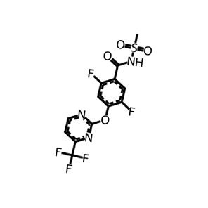 CS(=O)(=O)NC(=O)c1cc(F)c(Oc2nccc(C(F)(F)F)n2)cc1F